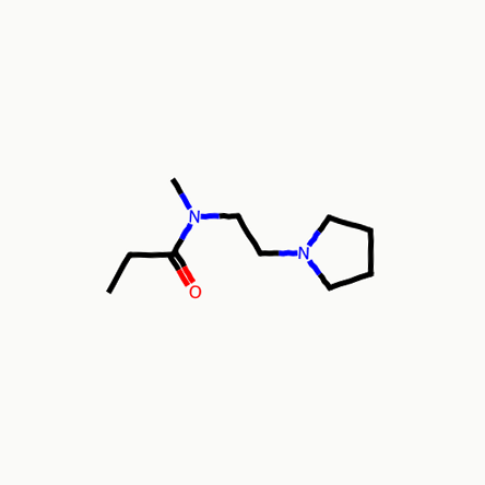 CCC(=O)N(C)CCN1CCCC1